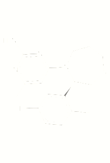 Cc1cc(N2CCCOC[C@H]2c2cc(F)ccc2F)nc(N)n1